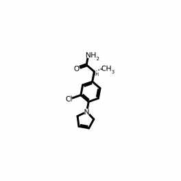 C[C@@H](C(N)=O)c1ccc(N2CC=CC2)c(Cl)c1